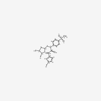 CS(=O)(=O)c1ccc(C(CC2CC(F)C(F)C2)C(=O)Nc2ncc(F)s2)cc1